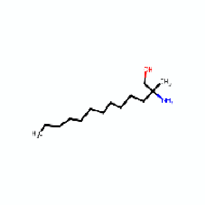 CCCCCCCCCCCC(C)(N)CO